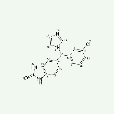 O=c1[nH]c2ccc(C(c3cccc(Cl)c3)n3ccnc3)cc2[nH]1